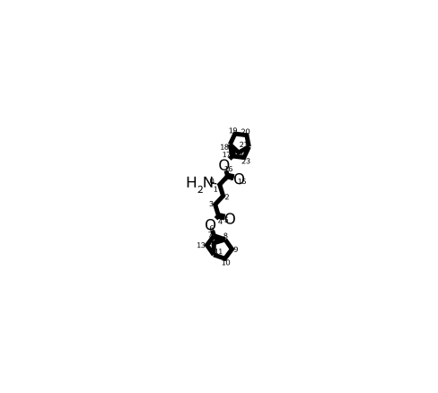 N[C@@H](CCC(=O)OC1=C2CCC(C2)C1)C(=O)OC1=C2CCC(C2)C1